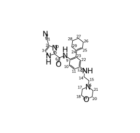 N#Cc1c[nH]c(C(=O)Nc2ccc(NCCN3CCOCC3)cc2C2=CCCCC2)n1